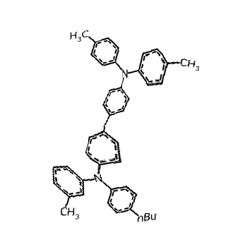 CCCCc1ccc(N(c2ccc(-c3ccc(N(c4ccc(C)cc4)c4ccc(C)cc4)cc3)cc2)c2cccc(C)c2)cc1